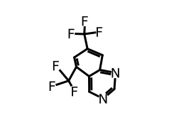 FC(F)(F)c1cc(C(F)(F)F)c2cncnc2c1